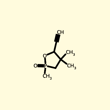 C#CC1OP(C)(=O)CC1(C)C